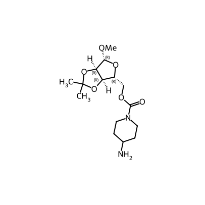 CO[C@@H]1O[C@H](COC(=O)N2CCC(N)CC2)[C@H]2OC(C)(C)O[C@@H]12